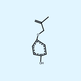 C=C(C)COc1ccc(O)cc1